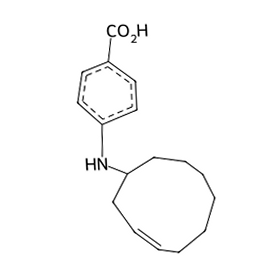 O=C(O)c1ccc(NC2CC=CCCCCCC2)cc1